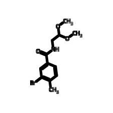 COC(CNC(=O)c1ccc(C)c(Br)c1)OC